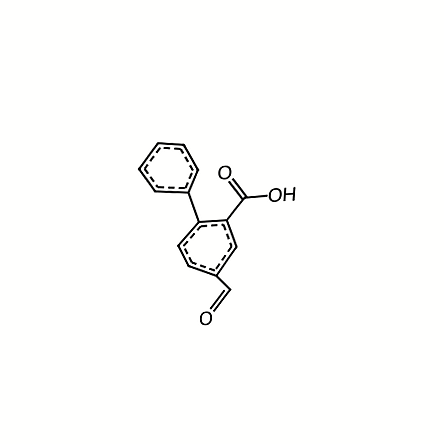 O=Cc1ccc(-c2ccccc2)c(C(=O)O)c1